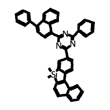 C[Si]1(C)c2cc(-c3nc(-c4ccccc4)nc(-c4ccc(-c5ccccc5)c5ccccc45)n3)ccc2-c2c1ccc1ccccc21